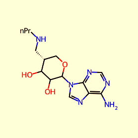 CCCNC[C@@H]1COC(n2cnc3c(N)ncnc32)C(O)C1O